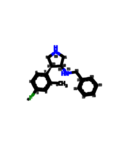 Cc1cc(F)ccc1[C@@H]1CNC[C@H]1NCc1ccccc1